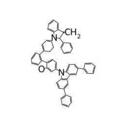 C=C1c2ccccc2N(C2=CC=C(c3cccc4oc5cc(-n6c7ccc(-c8ccccc8)cc7c7cc(-c8ccccc8)ccc76)ccc5c34)CC2)C1c1ccccc1